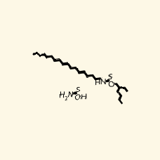 CCCCCCCCCCCCCCCCCCNC(=S)OCC(CC)CCCC.NC(O)=S